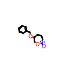 O=[N+]1CCCC(OCc2ccccc2)CO1